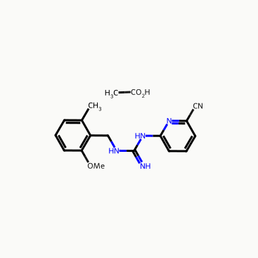 CC(=O)O.COc1cccc(C)c1CNC(=N)Nc1cccc(C#N)n1